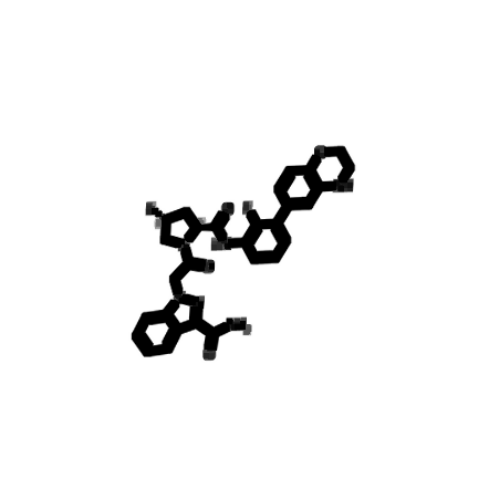 NC(=O)c1nn(CC(=O)N2C[C@H](F)C[C@H]2C(=O)Nc2cccc(-c3ccc4c(c3)NCCO4)c2F)c2ccccc12